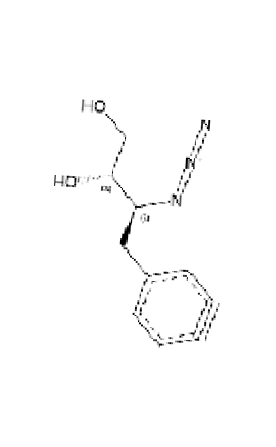 [N-]=[N+]=N[C@@H](Cc1cc#ccc1)[C@H](O)CO